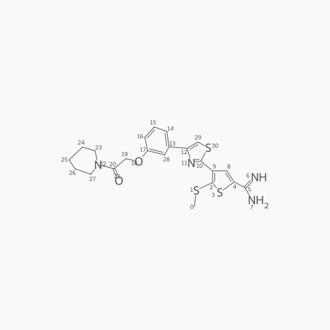 CSc1sc(C(=N)N)cc1-c1nc(-c2cccc(OCC(=O)N3CCCCC3)c2)cs1